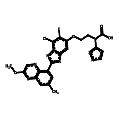 COc1cnc2c(-c3nc4c(Cl)c(F)c(OCCN(C(=O)O)c5ccns5)cc4s3)cc(C)cc2n1